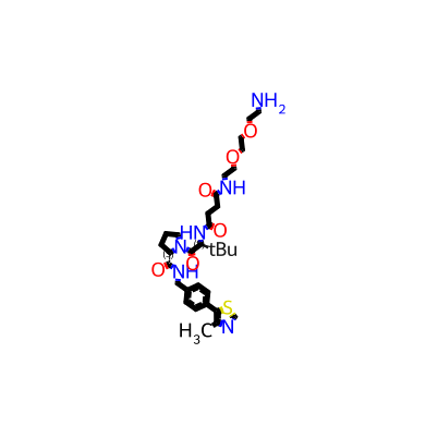 Cc1ncsc1-c1ccc(CNC(=O)[C@@H]2CCCN2C(=O)[C@@H](NC(=O)CCC(=O)NCCOCCOCCN)C(C)(C)C)cc1